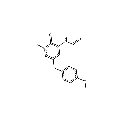 COc1ccc(Cc2cc(NC=O)c(=O)n(C)c2)cc1